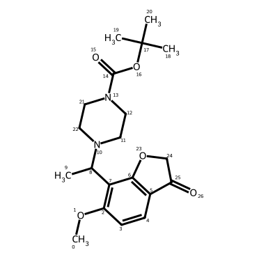 COc1ccc2c(c1C(C)N1CCN(C(=O)OC(C)(C)C)CC1)OCC2=O